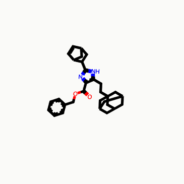 O=C(OCc1ccccc1)c1nc(C2CC3C=CC2C3)[nH]c1CCC12CC3CC(CC(C3)C1)C2